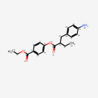 CCOC(=O)c1ccc(OC(=O)C(CC)Cc2ccc(N)cc2)cc1